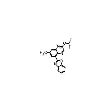 Cc1cc(-c2nc3ccccc3o2)c2ncc(OC(F)F)nc2c1